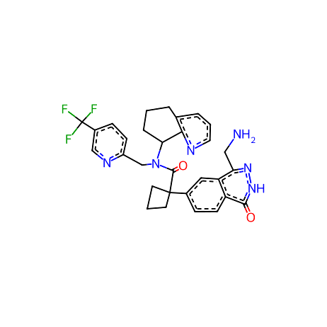 NCc1n[nH]c(=O)c2ccc(C3(C(=O)N(Cc4ccc(C(F)(F)F)cn4)C4CCCc5cccnc54)CCC3)cc12